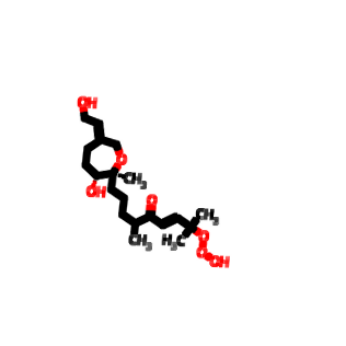 CC(CCC[C@]1(C)OC/C(=C/CO)CC[C@H]1O)C(=O)/C=C/C(C)(C)OOO